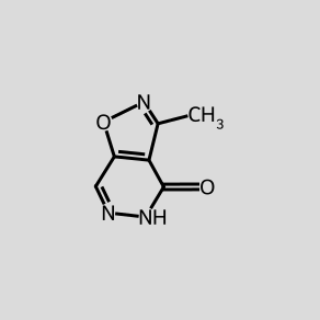 Cc1noc2cn[nH]c(=O)c12